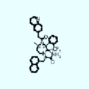 C[C@@H]1CCN([C@H](Cc2cccc3ccccc23)C(N)=O)C(=O)[C@H](c2ccccc2C(F)(F)F)N1C(=O)Cc1ccc2ncccc2c1